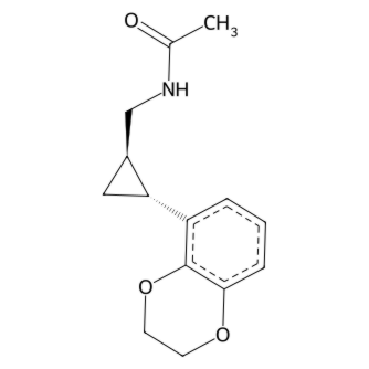 CC(=O)NC[C@@H]1C[C@H]1c1cccc2c1OCCO2